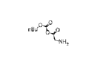 CCCCOC(=O)OC(=O)CN